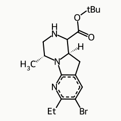 CCc1nc2c(cc1Br)C[C@@H]1C(C(=O)OC(C)(C)C)NC[C@@H](C)N21